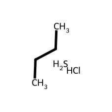 CCCC.Cl.S